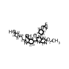 CCOc1ncc2nc(-c3ccc4nc(CCN5CCC(O)C5)n(C)c4c3)c(=O)n(-c3ccc(OC(F)F)cc3)c2n1